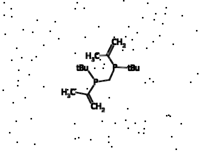 C=C(C)P(CP(C(=C)C)C(C)(C)C)C(C)(C)C